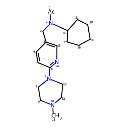 CC(=O)N(Cc1ccc(N2CCN(C)CC2)nc1)C1CCCCC1